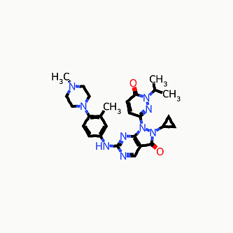 Cc1cc(Nc2ncc3c(=O)n(C4CC4)n(-c4ccc(=O)n(C(C)C)n4)c3n2)ccc1N1CCN(C)CC1